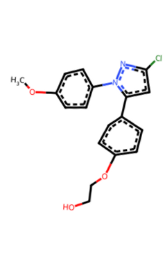 COc1ccc(-n2nc(Cl)cc2-c2ccc(OCCO)cc2)cc1